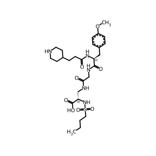 CCCCS(=O)(=O)N[C@@H](CNC(=O)CNC(=O)[C@H](Cc1ccc(OC)cc1)NC(=O)CCC1CCNCC1)C(=O)O